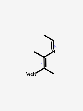 C/C=N\C(C)=C(/C)NC